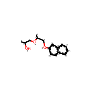 CC(O)COC(C)COc1ccc2ccccc2c1